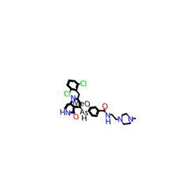 COc1cc(C(=O)NCCN2CCN(C)CC2)ccc1[AsH]c1cc(Cc2c(Cl)cccc2Cl)nc2cc[nH]c(=O)c12